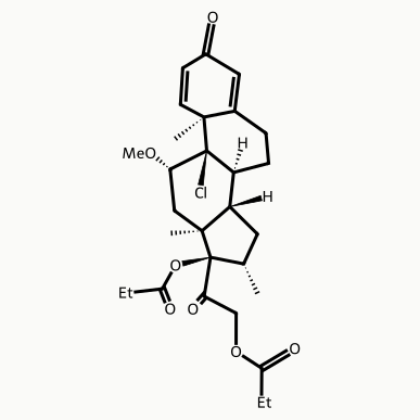 CCC(=O)OCC(=O)[C@@]1(OC(=O)CC)[C@@H](C)C[C@H]2[C@@H]3CCC4=CC(=O)C=C[C@]4(C)[C@@]3(Cl)[C@@H](OC)C[C@@]21C